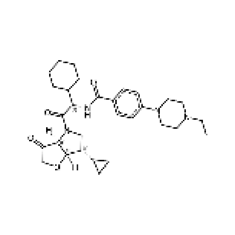 CCN1CCN(c2ccc(C(=O)N[C@H](C(=O)N3C[C@H](C4CC4)[C@H]4OCC(=O)[C@H]43)C3CCCCC3)cc2)CC1